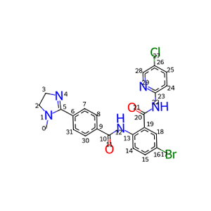 CN1CCN=C1c1ccc(C(=O)Nc2ccc(Br)cc2C(=O)Nc2ccc(Cl)cn2)cc1